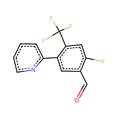 O=Cc1cc(-c2ccccn2)c(C(F)(F)F)cc1F